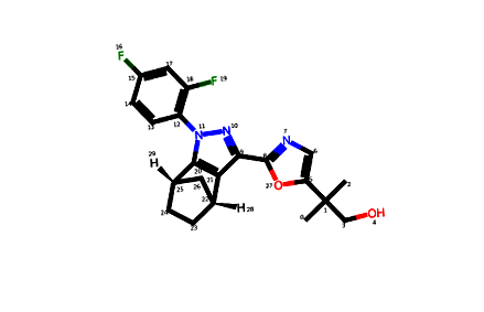 CC(C)(CO)c1cnc(-c2nn(-c3ccc(F)cc3F)c3c2[C@@H]2CC[C@H]3C2)o1